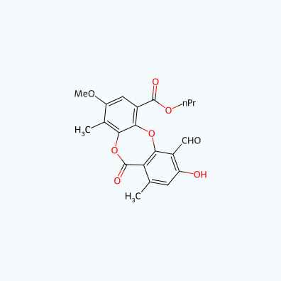 CCCOC(=O)c1cc(OC)c(C)c2c1Oc1c(C=O)c(O)cc(C)c1C(=O)O2